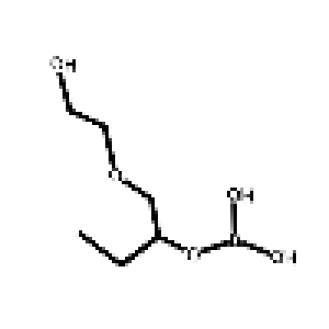 CCC(COCCO)OB(O)O